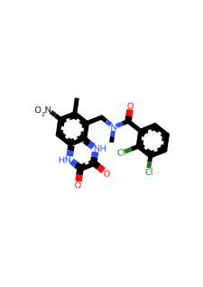 Cc1c([N+](=O)[O-])cc2[nH]c(=O)c(=O)[nH]c2c1CN(C)C(=O)c1cccc(Cl)c1Cl